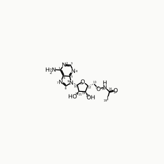 Nc1ncnc2c1ncn2[C@@H]1O[C@H](CONC(=O)I)[C@@H](O)[C@H]1O